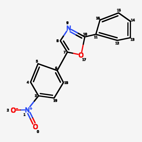 O=[N+]([O-])c1ccc(-c2cnc(-c3ccccc3)o2)cc1